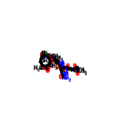 COc1cc2cc(c1Cl)N(C)C(=O)C[C@H](OC(=O)[C@H](C)N(C)C(=O)c1ccc(NC(=O)C(CCCNC(N)=O)NC(=O)CNC(=O)CCCCCN3C(=O)CC(C)C3=O)cc1)[C@]1(C)OC1[C@H](C)C1C[C@@](O)(NC(=O)O1)[C@H](OC)/C=C/C=C(\C)C2